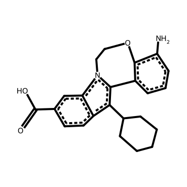 Nc1cccc2c1OCCn1c-2c(C2CCCCC2)c2ccc(C(=O)O)cc21